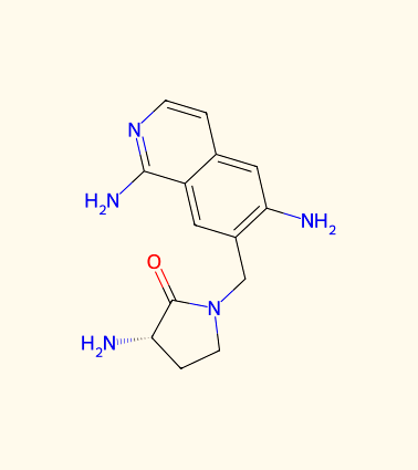 Nc1cc2ccnc(N)c2cc1CN1CC[C@H](N)C1=O